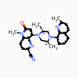 Cc1ccc2cccc(N3C[C@H](C)N(c4cc(=O)n(C)c5ccc(C#N)nc45)C[C@@H]3C)c2n1